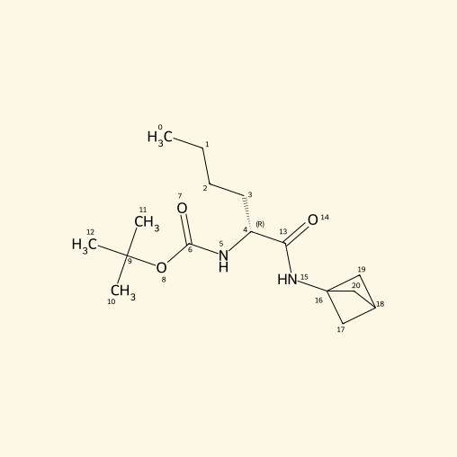 CCCC[C@@H](NC(=O)OC(C)(C)C)C(=O)NC12CC(C1)C2